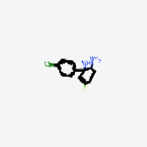 NC1C=CC(F)=CC1(N)c1ccc(Cl)cc1